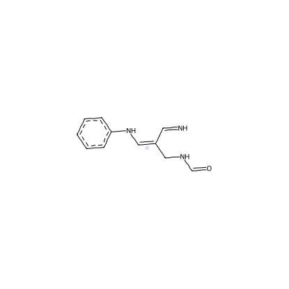 N=C/C(=C\Nc1ccccc1)CNC=O